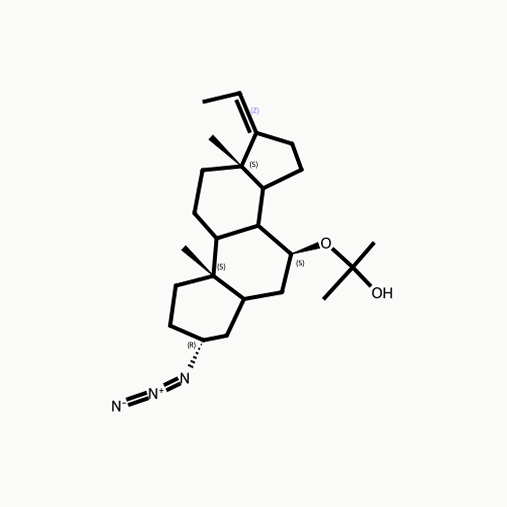 C/C=C1/CCC2C3C(CC[C@]12C)[C@@]1(C)CC[C@@H](N=[N+]=[N-])CC1C[C@@H]3OC(C)(C)O